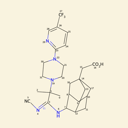 CC(C)(/C(=N\C#N)NC1C2CC3CC1CC(CC(=O)O)(C3)C2)N1CCN(c2ccc(C(F)(F)F)cn2)CC1